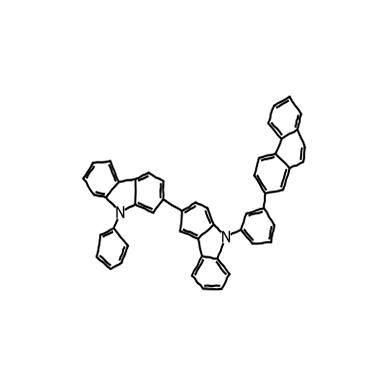 c1ccc(-n2c3ccccc3c3ccc(-c4ccc5c(c4)c4ccccc4n5-c4cccc(-c5ccc6c(ccc7ccccc76)c5)c4)cc32)cc1